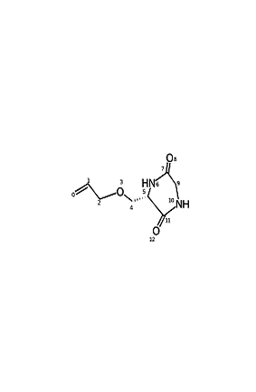 C=CCOC[C@@H]1NC(=O)CNC1=O